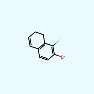 Fc1c(Br)ccc2c1CCC=C2